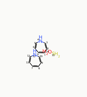 C1=CC=CNC=C1.C1=CC=CNC=C1.O.S